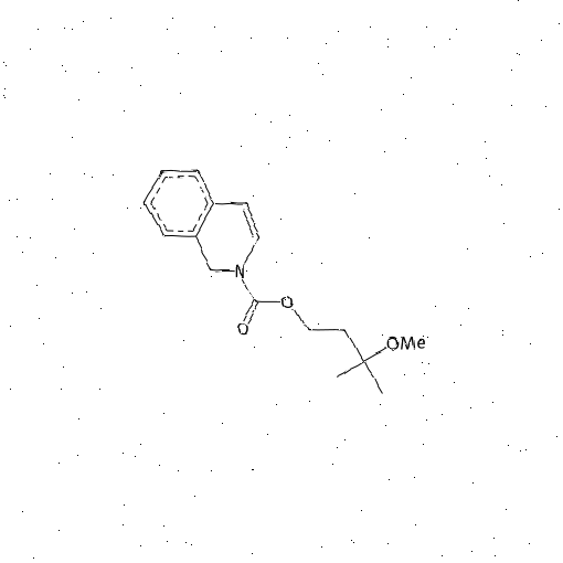 COC(C)(C)CCOC(=O)N1C=Cc2ccccc2C1